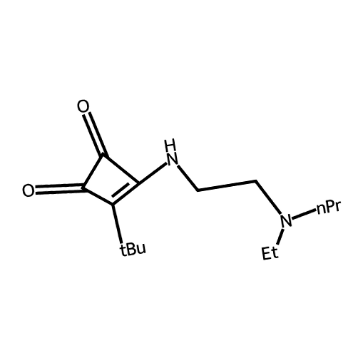 CCCN(CC)CCNc1c(C(C)(C)C)c(=O)c1=O